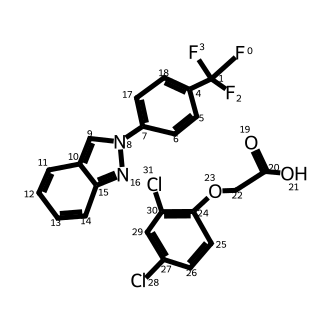 FC(F)(F)c1ccc(-n2cc3ccccc3n2)cc1.O=C(O)COc1ccc(Cl)cc1Cl